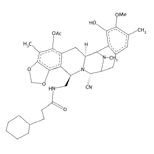 COc1c(C)cc2c(c1O)C1[C@@H]3Cc4c(OC(C)=O)c(C)c5c(c4[C@H](CNC(=O)CCC4CCCCC4)N3[C@@H](C#N)C(C2)N1C)OCO5